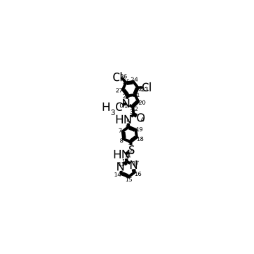 Cn1c(C(=O)Nc2ccc(SNc3ncccn3)cc2)cc2c(Cl)cc(Cl)cc21